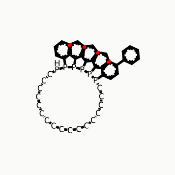 c1ccc(-c2ccc(P3CCCCCCCCCCCCCCCCCPP(c4ccccc4)P(c4ccccc4)P(c4ccccc4)P3c3ccccc3)cc2)cc1